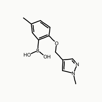 Cc1ccc(OCc2cnn(C)c2)c(B(O)O)c1